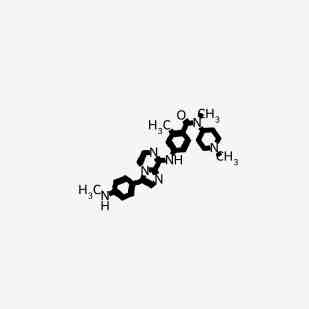 CNc1ccc(-c2cnc3c(Nc4ccc(C(=O)N(C)C5CCN(C)CC5)c(C)c4)nccn23)cc1